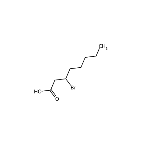 CCCCCC(Br)CC(=O)O